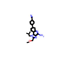 CCOCc1nc2c(N)nc3cc(-c4ccc(C#N)cc4)ccc3c2n1CC(C)C